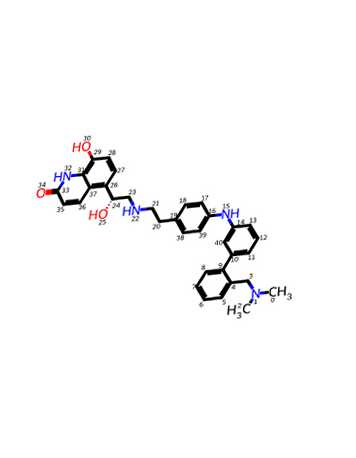 CN(C)Cc1ccccc1-c1cccc(Nc2ccc(CCNC[C@H](O)c3ccc(O)c4[nH]c(=O)ccc34)cc2)c1